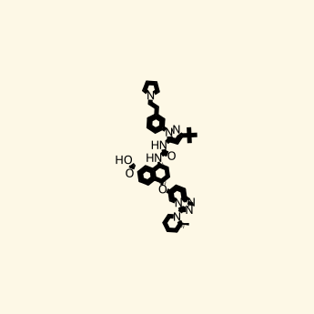 C[C@H]1CCCCN1c1nnc2ccc(O[C@@H]3CC[C@H](NC(=O)Nc4cc(C(C)(C)C)nn4-c4cccc(CCN5CCCC5)c4)c4ccccc43)cn12.O=CO